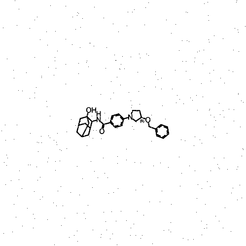 O=C(NC1C2CC3CC(C2)CC1(O)C3)c1ccc(N2CC[C@@H](OCc3ccccc3)C2)cc1